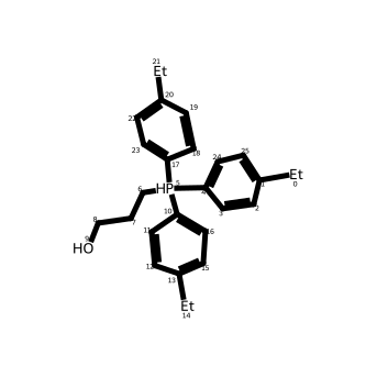 CCc1ccc([PH](CCCO)(c2ccc(CC)cc2)c2ccc(CC)cc2)cc1